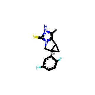 Cc1[nH]c(=S)n2c1C1C[C@]1(c1cc(F)ccc1F)C2